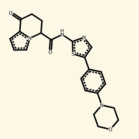 O=C1CCC(C(=O)Nc2ncc(-c3ccc(N4CCOCC4)cc3)s2)n2cccc21